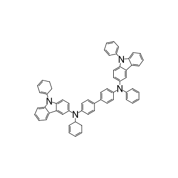 C1=CCCC(n2c3ccccc3c3cc(N(c4ccc(-c5ccc(N(c6ccccc6)c6ccc7c(c6)c6ccccc6n7-c6ccccc6)cc5)cc4)C4C=CC=CC4)ccc32)=C1